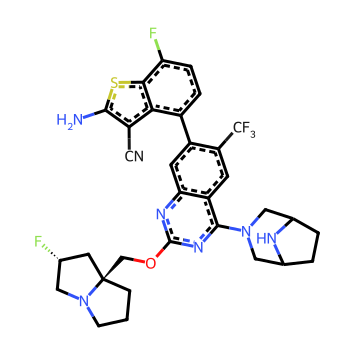 N#Cc1c(N)sc2c(F)ccc(-c3cc4nc(OC[C@@]56CCCN5C[C@H](F)C6)nc(N5CC6CCC(C5)N6)c4cc3C(F)(F)F)c12